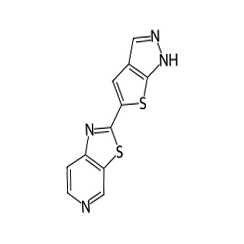 c1cc2nc(-c3cc4cn[nH]c4s3)sc2cn1